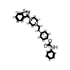 O=C(Nc1ccccc1)O[C@H]1CC[C@H](CCN2CCN(c3nsc4ccccc34)CC2)CC1